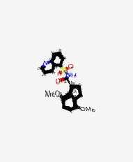 COc1ccc(OC)c2c1CC[C@@H]2C(=O)NS(=O)(=O)c1cccc2ncccc12